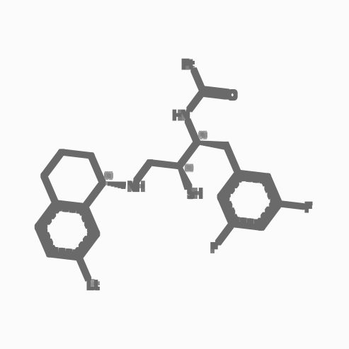 CCC(=O)N[C@@H](Cc1cc(F)cc(F)c1)[C@@H](S)CN[C@H]1CCCc2ccc(CC)cc21